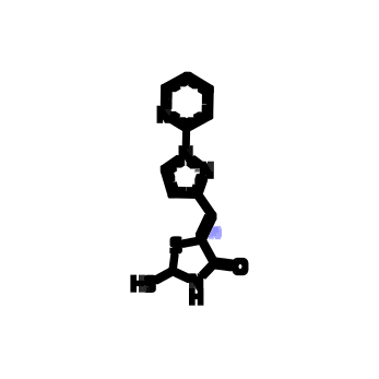 O=C1NC(S)S/C1=C\c1ccn(-c2ccccn2)n1